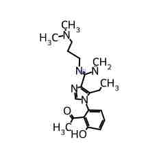 C=N/C(=N\CCCN(C)C)c1ncn(-c2cccc(O)c2C(C)=O)c1CC